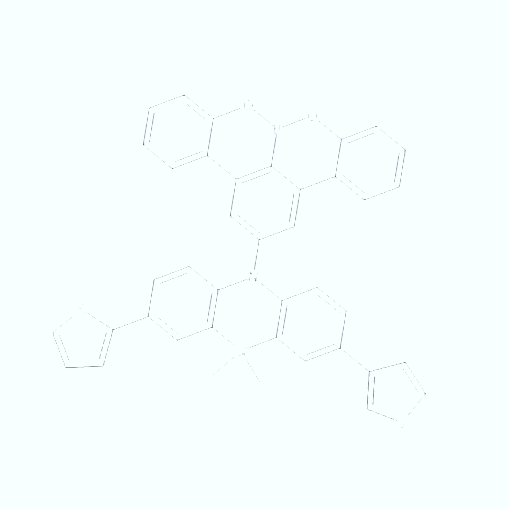 C[Si]1(C)c2cc(-c3ccsc3)ccc2N(c2cc3c4c(c2)-c2ccccc2OB4Oc2ccccc2-3)c2ccc(-c3cccs3)cc21